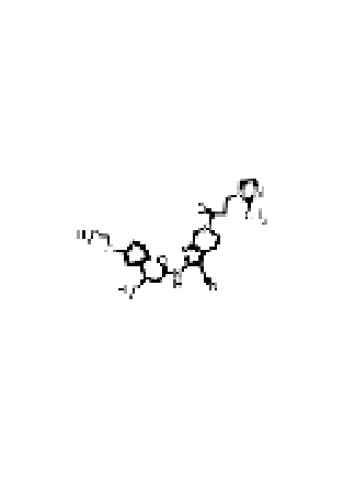 CCOc1cccc(C(C)CC(=O)Nc2sc3c(c2C#N)CCN(C(=O)CCn2ccnc2C)C3)c1